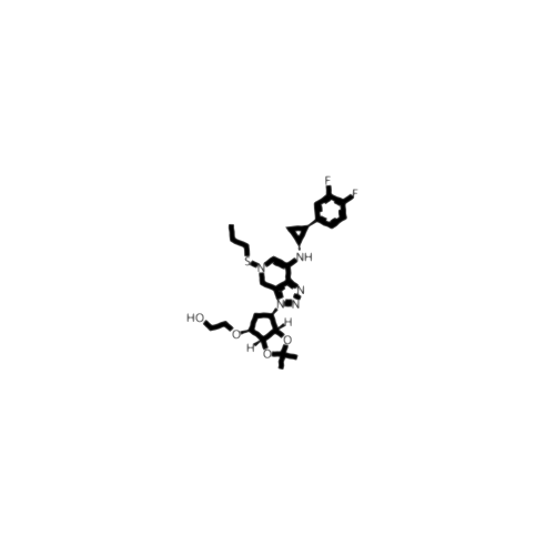 CCCSN1C=C(N[C@@H]2C[C@H]2c2ccc(F)c(F)c2)c2nnn([C@@H]3C[C@H](OCCO)[C@H]4OC(C)(C)O[C@H]43)c2C1